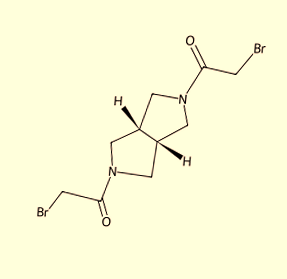 O=C(CBr)N1C[C@H]2CN(C(=O)CBr)C[C@H]2C1